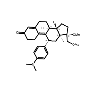 COC[C@]1(OC)CC[C@H]2[C@@H]3CCC4=CC(=O)CCC4=C3[C@@H](c3ccc(N(C)C)cc3)C[C@@]21C